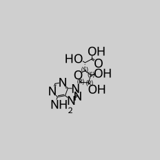 Nc1ncnc2c1nnn2[C@@H]1O[C@H](C(O)C(=O)O)[C@@H](O)[C@H]1O